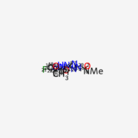 CNC(=O)C1CN(c2ncc(NC(=O)NC(c3oc4ccc(F)cc4c3C)C(C)C)cn2)C1